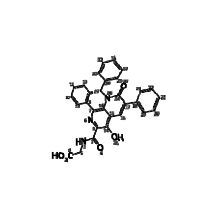 O=C(O)CNC(=O)c1nc(-c2ccccc2)c2c(cc(-c3ccccc3)c(=O)n2Cc2ccccc2)c1O